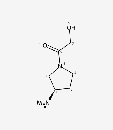 CN[C@@H]1CCN(C(=O)CO)C1